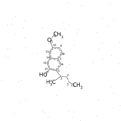 CCCC(C)c1cc2ccc(OC)cc2cc1O